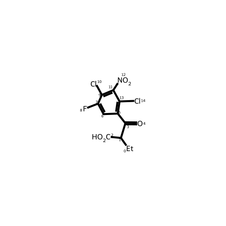 CCC(C(=O)O)C(=O)c1cc(F)c(Cl)c([N+](=O)[O-])c1Cl